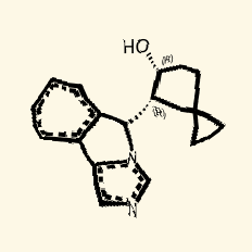 O[C@@H]1CC2(CC2)[C@@H]1C1c2ccccc2-c2cncn21